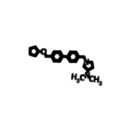 CN(C)C1CCN(Cc2ccc(-c3ccc(COC4CCCC4)cc3)cc2)C1